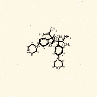 CC(N)C(C)(C(=O)C(C)(c1ccc(N2CCOCC2)cc1)C(C)N)c1ccc(N2CCOCC2)cc1